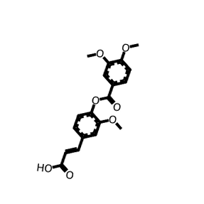 COc1ccc(C(=O)Oc2ccc(/C=C/C(=O)O)cc2OC)cc1OC